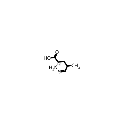 CC(C=S)C[C@H](N)C(=O)O